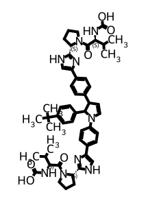 CC(C)[C@H](NC(=O)O)C(=O)N1CCC[C@H]1c1nc(-c2ccc(C3C=CN(c4ccc(-c5c[nH]c([C@@H]6CCCN6C(=O)[C@@H](NC(=O)O)C(C)C)n5)cc4)C3c3ccc(C(C)(C)C)cc3)cc2)c[nH]1